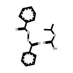 CC(C)OC(=O)O.O=C(OOC(=O)c1ccccc1)c1ccccc1